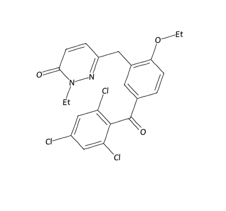 CCOc1ccc(C(=O)c2c(Cl)cc(Cl)cc2Cl)cc1Cc1ccc(=O)n(CC)n1